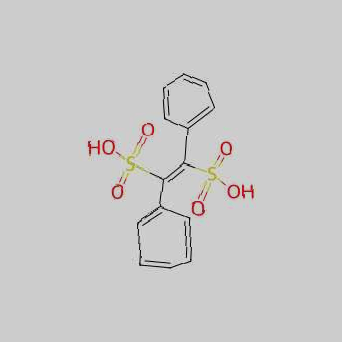 O=S(=O)(O)C(=C(c1ccccc1)S(=O)(=O)O)c1ccccc1